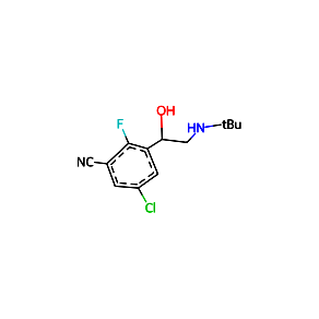 CC(C)(C)NCC(O)c1cc(Cl)cc(C#N)c1F